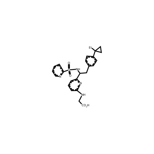 CCC1(c2ccc(CC(NS(=O)(=O)c3ccccn3)c3cccc(NCC(=O)O)n3)cc2)CC1